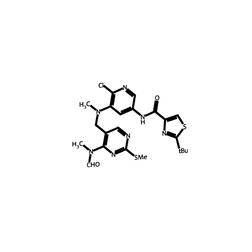 CSc1ncc(CN(C)c2cc(NC(=O)c3csc(C(C)(C)C)n3)cnc2Cl)c(N(C)C=O)n1